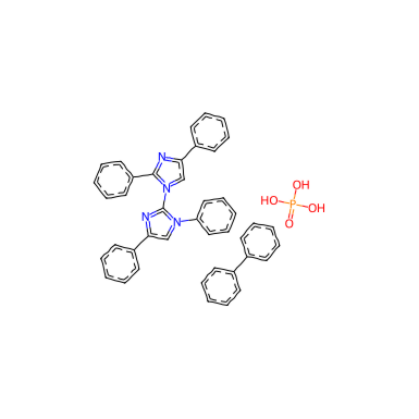 O=P(O)(O)O.c1ccc(-c2ccccc2)cc1.c1ccc(-c2cn(-c3nc(-c4ccccc4)cn3-c3ccccc3)c(-c3ccccc3)n2)cc1